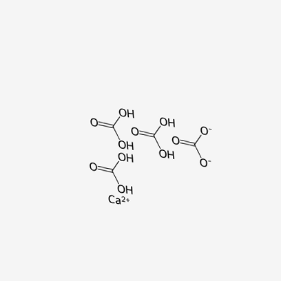 O=C(O)O.O=C(O)O.O=C(O)O.O=C([O-])[O-].[Ca+2]